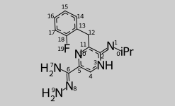 CC(C)/N=c1\[nH]cc(/C(N)=N/N)nc1Cc1ccccc1F